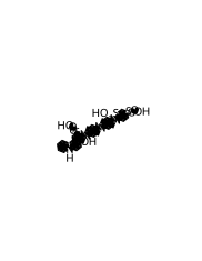 Cc1cc(N=Nc2ccc(SOOO)cc2S(=O)(=O)O)c(C)cc1N=Nc1cc(C)c(N=Nc2c(SOOO)cc3cc(Nc4ccccc4)ccc3c2O)cc1C